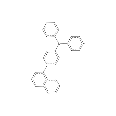 [c]1ccc(N(c2ccccc2)c2ccc(-c3cccc4ccccc34)cc2)cc1